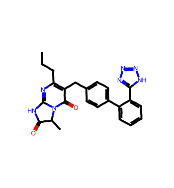 CCCc1nc2n(c(=O)c1Cc1ccc(-c3ccccc3-c3nnn[nH]3)cc1)C(C)C(=O)N2